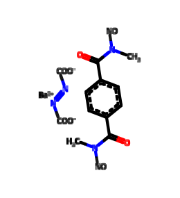 CN(N=O)C(=O)c1ccc(C(=O)N(C)N=O)cc1.O=C([O-])N=NC(=O)[O-].[Ba+2]